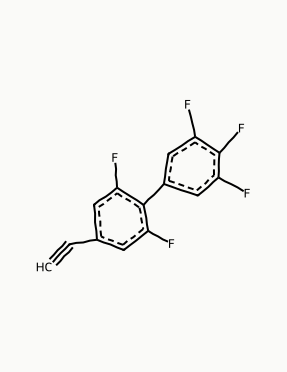 C#Cc1cc(F)c(-c2cc(F)c(F)c(F)c2)c(F)c1